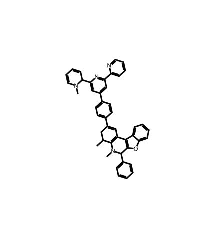 CC1CC(c2ccc(-c3cc(-c4ccccn4)nc(C4C=CC=CN4C)c3)cc2)=CC2=C1N(C)C(c1ccccc1)c1oc3ccccc3c12